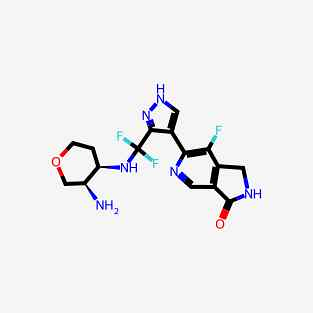 N[C@H]1COCC[C@H]1NC(F)(F)c1n[nH]cc1-c1ncc2c(c1F)CNC2=O